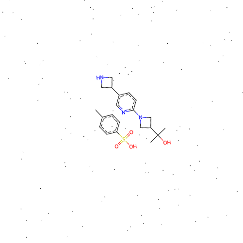 CC(C)(O)C1CN(c2ccc(C3CNC3)cn2)C1.Cc1ccc(S(=O)(=O)O)cc1